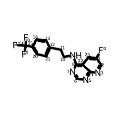 Fc1cnc2ncnc(NCCc3ccc(C(F)(F)F)cc3)c2c1